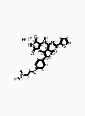 CCCN(C)CCOc1ccc(-c2sc3nc(-c4cccs4)nc(N(C)C4=CC(=O)NC4=O)c3c2C)cc1.Cl